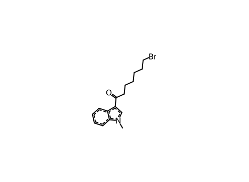 Cn1cc(C(=O)CCCCCCBr)c2ccccc21